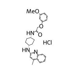 COc1cccc(OCC(=O)N[C@H]2CC[C@@H](Nc3cc(C)c4ccccc4n3)CC2)c1.Cl